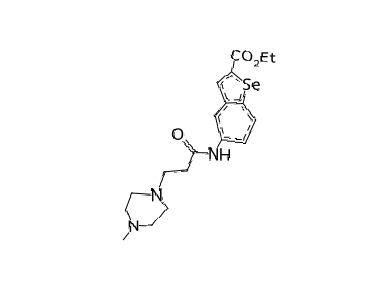 CCOC(=O)c1cc2cc(NC(=O)CCN3CCN(C)CC3)ccc2[se]1